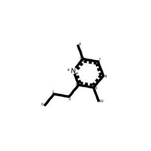 CCCc1nc(C)ccc1C